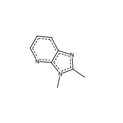 Cc1nc2[c]ccnc2n1C